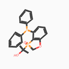 CC(C)(O)P1(=O)COc2cccc(P(c3ccccc3)c3ccccc3)c21